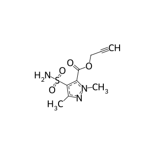 C#CCOC(=O)c1c(S(N)(=O)=O)c(C)nn1C